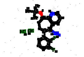 CC(C)[Si](O[C@@H]1CC[C@@H](c2cccc(F)c2F)[C@H](N)c2cccnc21)(C(C)C)C(C)C.Cl.Cl